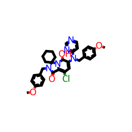 COc1ccc(CN(C2=CC(Cl)=C3C(=O)N(Cc4ccc(OC)cc4)C4(CCCCC4)N3C2O)c2ccncn2)cc1